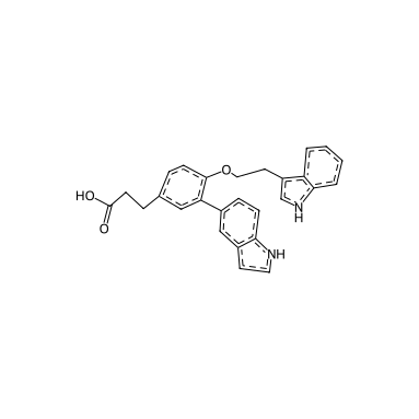 O=C(O)CCc1ccc(OCCc2c[nH]c3ccccc23)c(-c2ccc3[nH]ccc3c2)c1